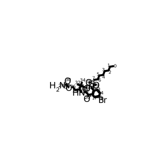 CCCCCCCCS(=O)(=O)Nc1ccc(Br)cc1C(=O)C(=O)NC(CCOC(N)=O)C(C)(C)C